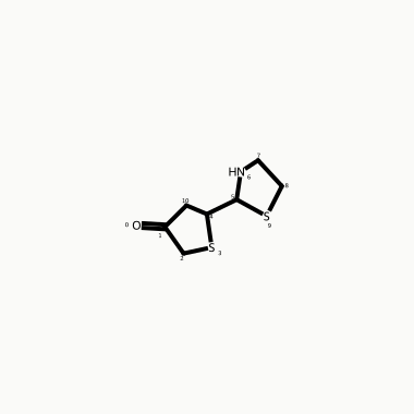 O=C1CSC(C2NCCS2)C1